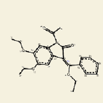 CCO/C(=C1/C(=O)N(C(C)=O)c2cc(OCC)c(OCC)cc21)c1ccccc1